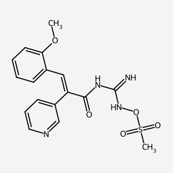 COc1ccccc1/C=C(/C(=O)NC(=N)NOS(C)(=O)=O)c1cccnc1